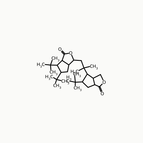 CC(C)(C)C1CC2C(CC(C)(C)C3C4COC(=O)C4CC3C(C)(C)C)OC(=O)C2C1C(C)(C)C